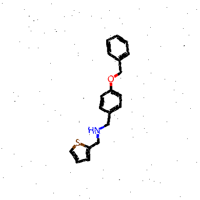 c1ccc(COc2ccc(CNCc3cccs3)cc2)cc1